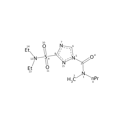 CCCN(C)C(=O)n1cnc(S(=O)(=O)N(CC)CC)n1